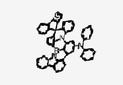 c1ccc(N(c2ccccc2)c2cc3c4c(c2)N2c5ccccc5C5(c6ccccc6-c6ccccc65)c5cccc(c52)B4n2c4ccccc4c4cccc-3c42)cc1